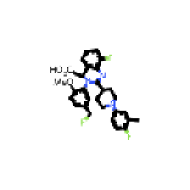 COc1ccc(CF)cc1N1C(C2CCN(c3ccc(F)c(C)c3)CC2)=Nc2c(F)cccc2C1CC(=O)O